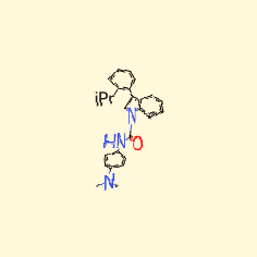 CC(C)c1ccccc1-c1cn(C(=O)Nc2ccc(N(C)C)cc2)c2ccccc12